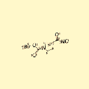 CC(C)(C)OC(=O)N1CC[C@H](C(=O)N=O)C1